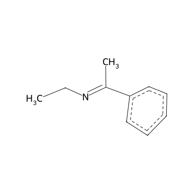 CCN=C(C)c1ccccc1